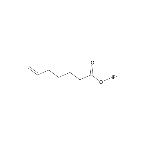 C=CCCCCC(=O)OC(C)C